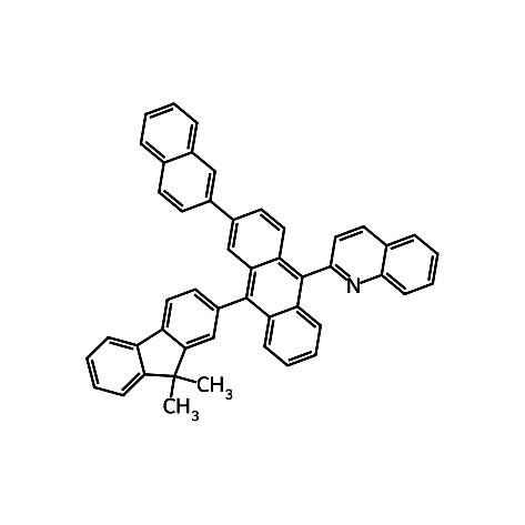 CC1(C)c2ccccc2-c2ccc(-c3c4ccccc4c(-c4ccc5ccccc5n4)c4ccc(-c5ccc6ccccc6c5)cc34)cc21